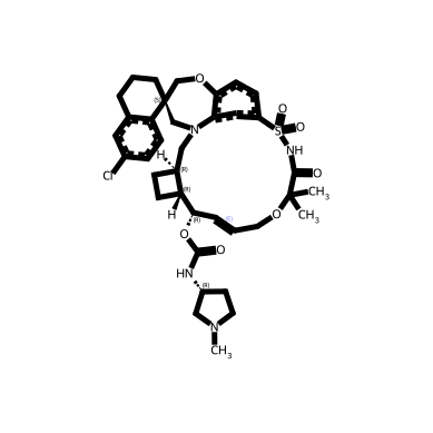 CN1CC[C@@H](NC(=O)O[C@H]2/C=C/COC(C)(C)C(=O)NS(=O)(=O)c3ccc4c(c3)N(C[C@@H]3CC[C@H]32)C[C@@]2(CCCc3cc(Cl)ccc32)CO4)C1